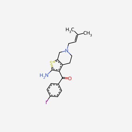 CC(C)=CCN1CCc2c(sc(N)c2C(=O)c2ccc(I)cc2)C1